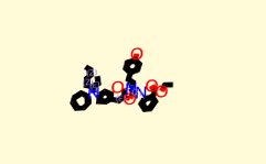 C\C=C/C=C\C(=C/C)N(C1=CCC=CC=C1)c1ccc(/C=C2/O/C(=N\c3ccccc3C(=O)OCC)N(CCc3ccc(OC)cc3)C2=O)cc1